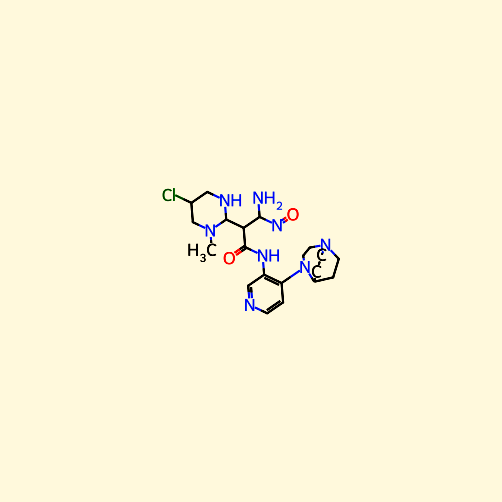 CN1CC(Cl)CNC1C(C(=O)Nc1cnccc1N1CCN2CCC1CC2)C(N)N=O